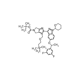 CC(Oc1ccc2c(c1)c(-c1nc3c(n1COCC[Si](C)(C)C)CN(C(=O)OC(C)(C)C)C3)nn2C1CCCCO1)c1cc(F)cc(F)c1